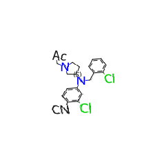 [C-]#[N+]c1ccc(N(Cc2ccccc2Cl)[C@H]2CCN(CC(C)=O)C2)cc1Cl